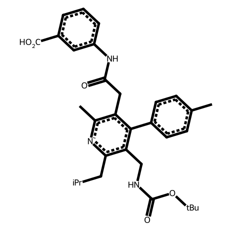 Cc1ccc(-c2c(CC(=O)Nc3cccc(C(=O)O)c3)c(C)nc(CC(C)C)c2CNC(=O)OC(C)(C)C)cc1